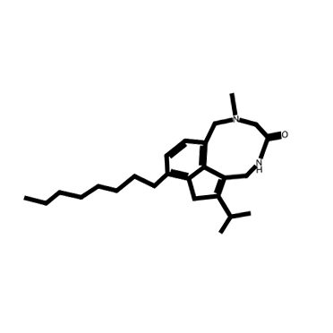 CCCCCCCCc1ccc2c3c1CC(C(C)C)=C3CNC(=O)CN(C)C2